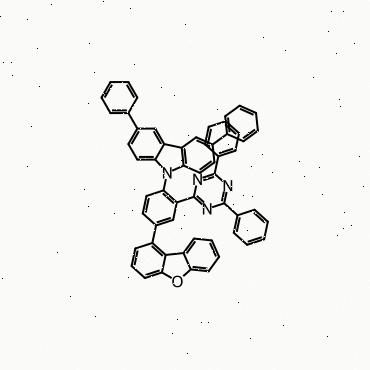 c1ccc(-c2ccc3c(c2)c2cc(-c4ccccc4)ccc2n3-c2ccc(-c3cccc4oc5ccccc5c34)cc2-c2nc(-c3ccccc3)nc(-c3ccccc3)n2)cc1